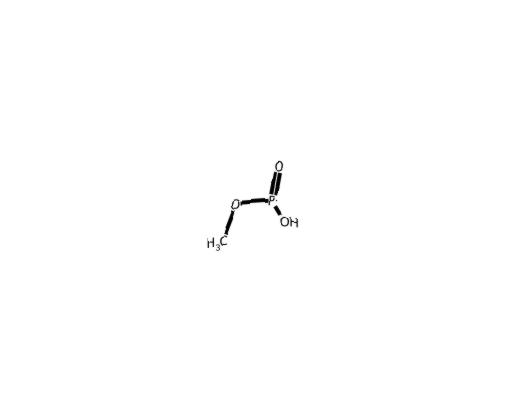 CO[P](=O)O